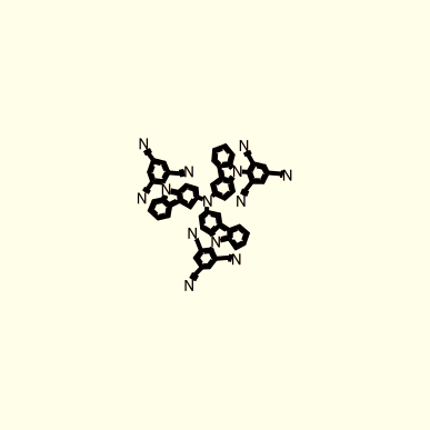 N#Cc1cc(C#N)c(-n2c3ccccc3c3cc(N(c4ccc5c(c4)c4ccccc4n5-c4c(C#N)cc(C#N)cc4C#N)c4ccc5c(c4)c4ccccc4n5-c4c(C#N)cc(C#N)cc4C#N)ccc32)c(C#N)c1